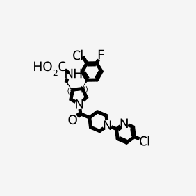 O=C(O)NC[C@H]1CN(C(=O)C2CCN(c3ccc(Cl)cn3)CC2)C[C@H]1c1ccc(F)c(Cl)c1